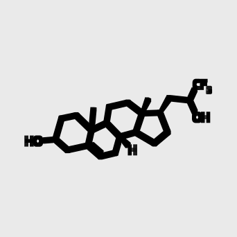 CC12CCC(O)CC1=CC[C@@H]1C2CC[C@@]2(C)C1CC[C@@H]2CC(O)C(F)(F)F